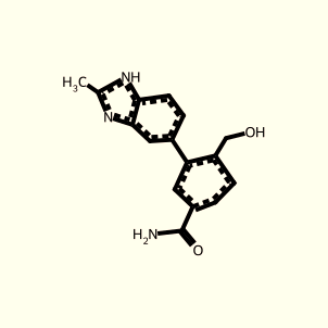 Cc1nc2cc(-c3cc(C(N)=O)ccc3CO)ccc2[nH]1